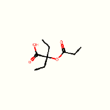 CCC(=O)OC(CC)(CC)C(=O)O